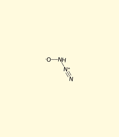 N#[N+]N[O]